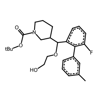 Cc1cccc(-c2c(F)cccc2C(OCCO)C2CCCN(C(=O)OC(C)(C)C)C2)c1